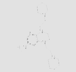 Nc1cnc2c(c1)N(CCN1CCCCC1)CCN2CCN1CCCCC1